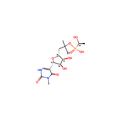 CCC(C)(C[C@H]1O[C@@H](c2c[nH]c(=O)n(C)c2=O)[C@H](O)[C@@H]1O)OP(=O)(O)[C@H](C)O